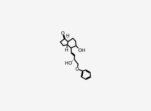 O=C1CC[C@H]2C(C=C[C@@H](O)COc3ccccc3)C(O)CC[C@H]12